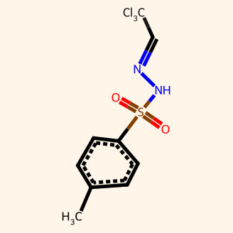 Cc1ccc(S(=O)(=O)N/N=C/C(Cl)(Cl)Cl)cc1